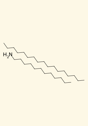 CCCCCCCCCCCCCCCCC.CCCCCCCCCCCCN